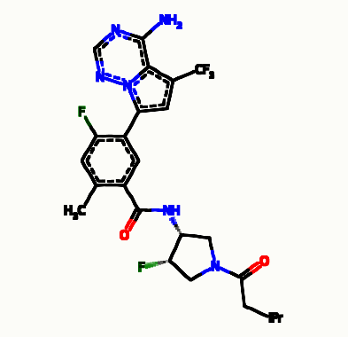 Cc1cc(F)c(-c2cc(C(F)(F)F)c3c(N)ncnn23)cc1C(=O)N[C@@H]1CN(C(=O)CC(C)C)C[C@@H]1F